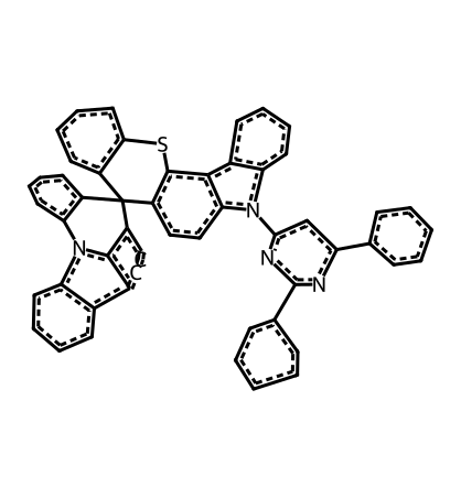 c1ccc(-c2cc(-n3c4ccccc4c4c5c(ccc43)C3(c4ccccc4S5)c4ccccc4-n4c5ccccc5c5cccc3c54)nc(-c3ccccc3)n2)cc1